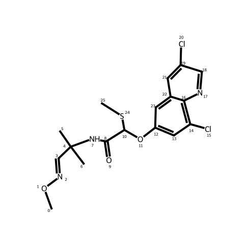 CON=CC(C)(C)NC(=O)C(Oc1cc(Cl)c2ncc(Cl)cc2c1)SC